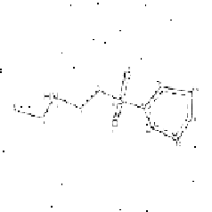 CCNCCS(=O)(=O)c1ccccc1